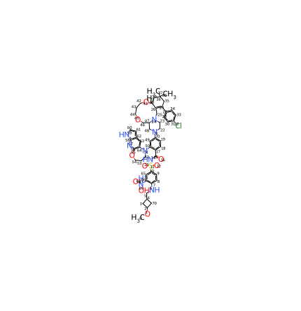 COC1CC(CNc2ccc(S(=O)(=O)NC(=O)c3ccc(N4CCN5CC6=C(c7ccc(Cl)cc7)CC(C)(C)C[C@H]6OCCCOCC5C4)cc3N3CCCOc4nc5[nH]ccc5cc43)cc2[NH+]([O-])O)C1